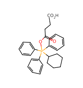 O=C(O)CCC(=O)OP(c1ccccc1)(c1ccccc1)(c1ccccc1)C1CCCCC1